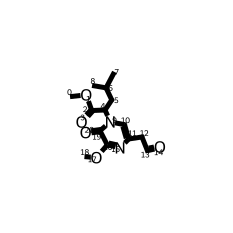 COC(=O)C(CC(C)C)n1cc(CC=O)nc(OC)c1=O